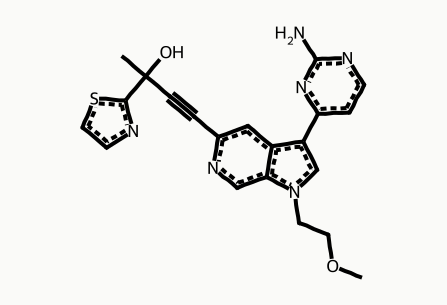 COCCn1cc(-c2ccnc(N)n2)c2cc(C#CC(C)(O)c3nccs3)ncc21